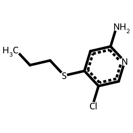 CCCSc1cc(N)ncc1Cl